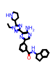 CCn1nc(-c2nc(-c3cccc(C(=O)NC4CCc5ccccc54)c3)cnc2N)nc1C1CCCNC1